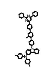 Cc1ccc(N(c2ccc(C)cc2)c2ccc3c(c2)c2ccccc2n3-c2ccc(-c3ccc(-c4ccc(-c5cc(-c6ccccc6)nc(-c6ccccc6)n5)cc4)cc3C)cc2)cc1